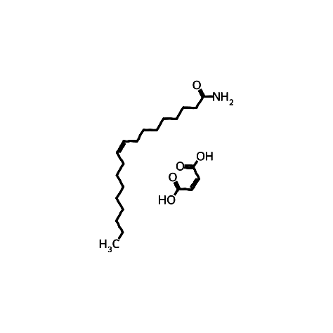 CCCCCCCC/C=C\CCCCCCCC(N)=O.O=C(O)/C=C\C(=O)O